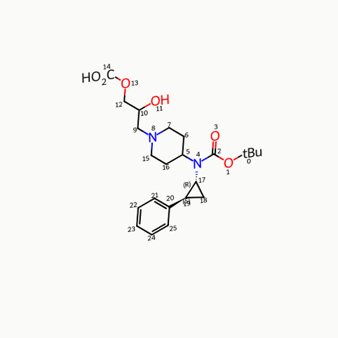 CC(C)(C)OC(=O)N(C1CCN(CC(O)COC(=O)O)CC1)[C@@H]1C[C@H]1c1ccccc1